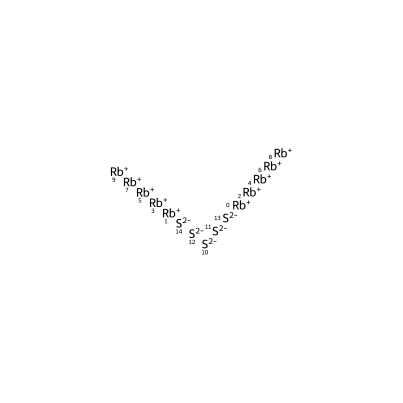 [Rb+].[Rb+].[Rb+].[Rb+].[Rb+].[Rb+].[Rb+].[Rb+].[Rb+].[Rb+].[S-2].[S-2].[S-2].[S-2].[S-2]